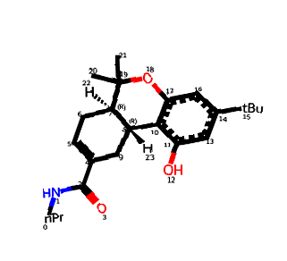 CCCNC(=O)C1=CC[C@@H]2[C@@H](C1)c1c(O)cc(C(C)(C)C)cc1OC2(C)C